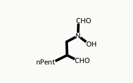 CCCCCC(C=O)CN(O)C=O